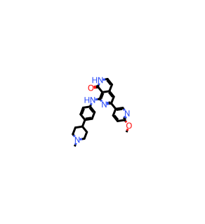 COc1ccc(-c2cc3cc[nH]c(=O)c3c(Nc3ccc(C4CCN(C)CC4)cc3)n2)cn1